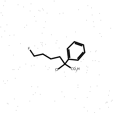 O=C(O)C(Cl)(CCCCF)c1ccccc1